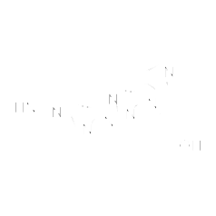 OC1CCC(n2c3cnccc3c3cnc(Nc4ccc(N5CCNCC5)cn4)nc32)CC1